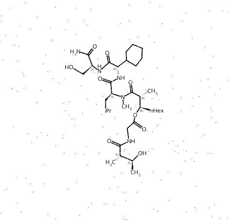 CCCCCC[C@@H](OC(=O)CNC(=O)[C@@H](C)[C@H](C)O)[C@@H](C)C(=O)N(C)[C@@H](CC(C)C)C(=O)N[C@H](C(=O)N[C@@H](CO)C(N)=O)C1CCCCC1